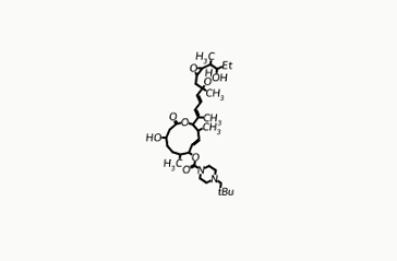 CCC(O)C(C)C1OC1CC(C)(O)/C=C/C=C(\C)C1OC(=O)CC(O)CCC(C)C(OC(=O)N2CCN(CC(C)(C)C)CC2)/C=C/C1C